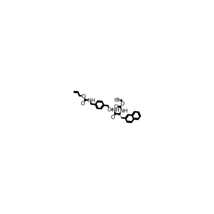 C=CCOC(=O)NCc1ccc(CONC(=O)[C@@H](Cc2ccc3ccccc3c2)NC(=O)OC(C)(C)C)cc1